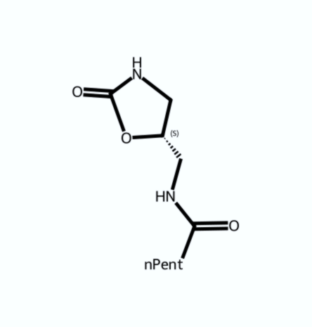 CCCCCC(=O)NC[C@H]1CNC(=O)O1